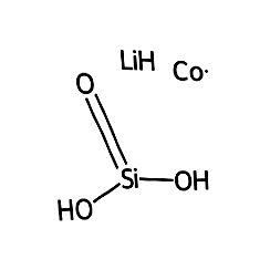 O=[Si](O)O.[Co].[LiH]